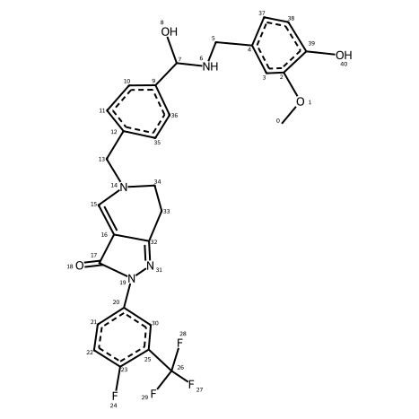 COc1cc(CNC(O)c2ccc(CN3C=C4C(=O)N(c5ccc(F)c(C(F)(F)F)c5)N=C4CC3)cc2)ccc1O